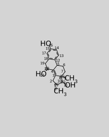 C[C@@H]1CC2=C3C(CC[C@]2(C)[C@H]1O)c1ccc(O)cc1C[C@@H]3O